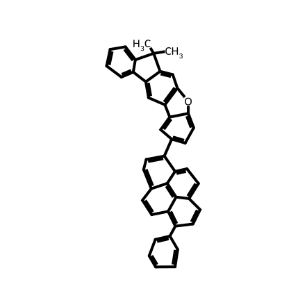 CC1(C)c2ccccc2-c2cc3c(cc21)oc1ccc(-c2ccc4ccc5c(-c6ccccc6)ccc6ccc2c4c65)cc13